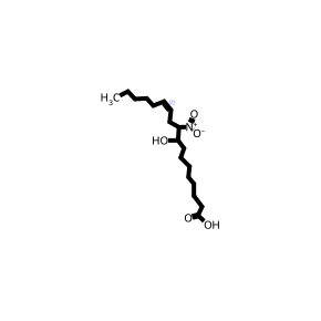 CCCCC/C=C\CC(C(O)CCCCCCCC(=O)O)[N+](=O)[O-]